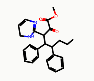 CCCC(c1ccccc1)C(c1ccccc1)C(C(=O)C(=O)OC)C1=NC=CCN1